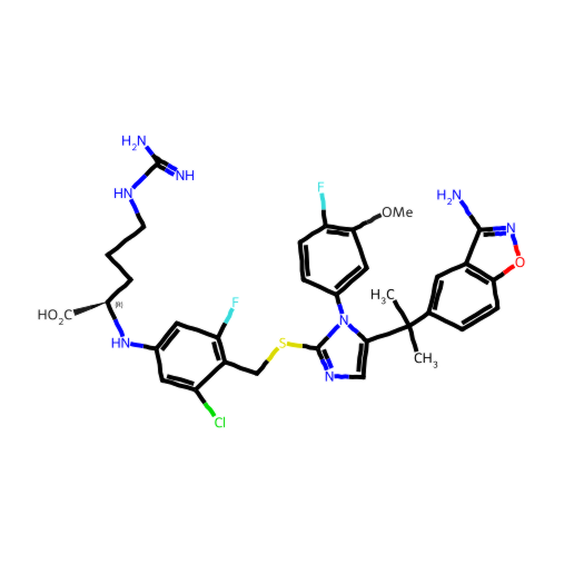 COc1cc(-n2c(C(C)(C)c3ccc4onc(N)c4c3)cnc2SCc2c(F)cc(N[C@H](CCCNC(=N)N)C(=O)O)cc2Cl)ccc1F